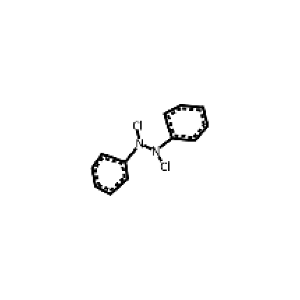 ClN(c1ccccc1)N(Cl)c1ccccc1